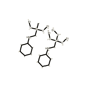 CCO[Si](C)(CNC1CCCCC1)OCC.CCO[Si](CNC1CCCCC1)(OCC)OCC